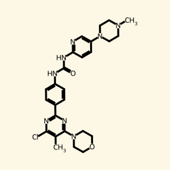 Cc1c(Cl)nc(-c2ccc(NC(=O)Nc3ccc(N4CCN(C)CC4)cn3)cc2)nc1N1CCOCC1